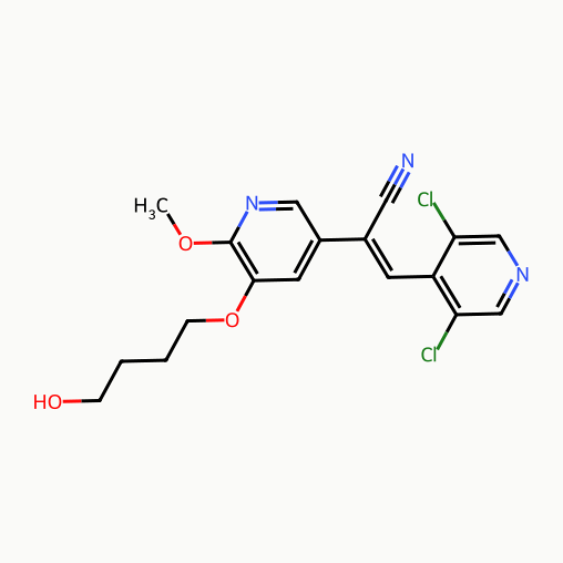 COc1ncc(C(C#N)=Cc2c(Cl)cncc2Cl)cc1OCCCCO